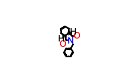 O=C1[C@H]2CC=CC[C@H]2C(=O)N1Cc1ccccc1